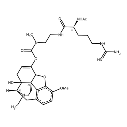 COc1ccc2c3c1OC1C(OC(=O)N(C)CCNC(=O)[C@H](CCCNC(=N)N)NC(C)=O)=CCC4(O)[C@@H](C2)N(C)CC[C@]314